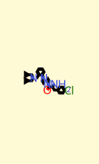 NC(Cc1ccc(Cl)cc1)C(=O)N1CCN(c2ccccc2CN(CC2CC2)CC2CC2)CC1